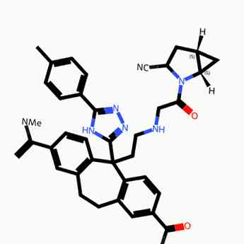 C=C(NC)c1ccc2c(c1)CCc1cc(C(=O)NC)ccc1C2(CCNCC(=O)N1C(C#N)C[C@@H]2C[C@@H]21)c1nnc(-c2ccc(C)cc2)[nH]1